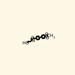 CS(=O)(=O)c1ccc(-c2ccc(-c3nc(CCO)co3)cc2)cc1